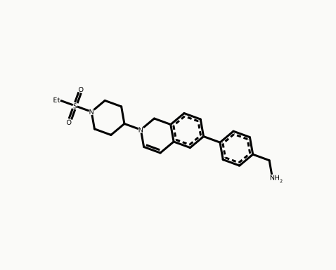 CCS(=O)(=O)N1CCC(N2C=Cc3cc(-c4ccc(CN)cc4)ccc3C2)CC1